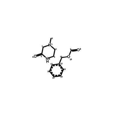 CN1CCNC(=O)C1.O=COCc1ccccc1